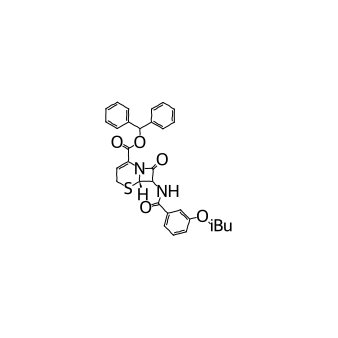 CCC(C)Oc1cccc(C(=O)NC2C(=O)N3C(C(=O)OC(c4ccccc4)c4ccccc4)=CCS[C@@H]23)c1